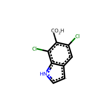 O=C(O)c1c(Cl)cc2[c]c[nH]c2c1Cl